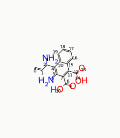 C=CC(N)c1c(N)c(C(=O)O)c(C(=O)O)c2ccccc12